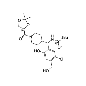 CC1(C)OC[C@H](C(=O)N2CCC(C(N[S@@+]([O-])C(C)(C)C)c3cc(Cl)c(CO)cc3O)CC2)O1